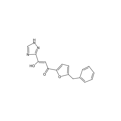 O=C(C=C(O)c1nc[nH]n1)c1ccc(Cc2ccccc2)o1